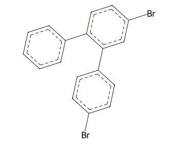 Brc1ccc(-c2cc(Br)ccc2-c2ccccc2)cc1